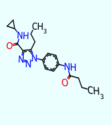 CCCC(=O)Nc1ccc(-n2nnc(C(=O)NC3CC3)c2CCC)cc1